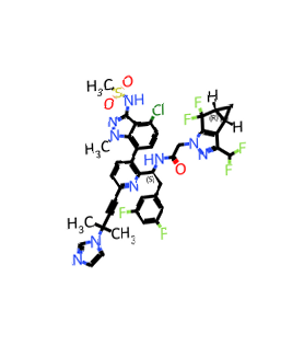 Cn1nc(NS(C)(=O)=O)c2c(Cl)ccc(-c3ccc(C#CC(C)(C)n4ccnc4)nc3[C@H](Cc3cc(F)cc(F)c3)NC(=O)Cn3nc(C(F)F)c4c3C(F)(F)[C@@H]3C[C@H]43)c21